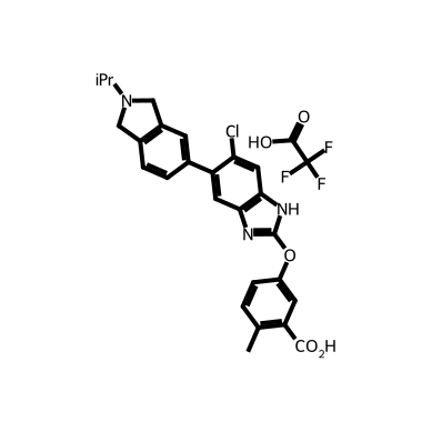 Cc1ccc(Oc2nc3cc(-c4ccc5c(c4)CN(C(C)C)C5)c(Cl)cc3[nH]2)cc1C(=O)O.O=C(O)C(F)(F)F